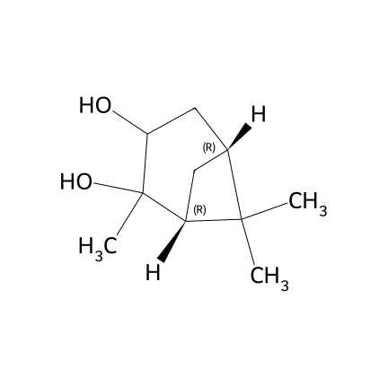 CC1(O)C(O)C[C@H]2C[C@@H]1C2(C)C